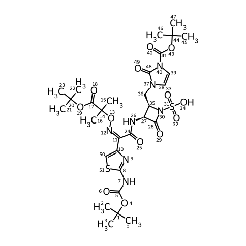 CC(C)(C)OC(=O)Nc1nc(C(=NOC(C)(C)C(=O)OC(C)(C)C)C(=O)N[C@@H]2C(=O)N(S(=O)(=O)O)[C@@H]2Cn2ccn(C(=O)OC(C)(C)C)c2=O)cs1